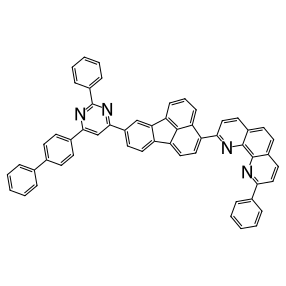 c1ccc(-c2ccc(-c3cc(-c4ccc5c(c4)-c4cccc6c(-c7ccc8ccc9ccc(-c%10ccccc%10)nc9c8n7)ccc-5c46)nc(-c4ccccc4)n3)cc2)cc1